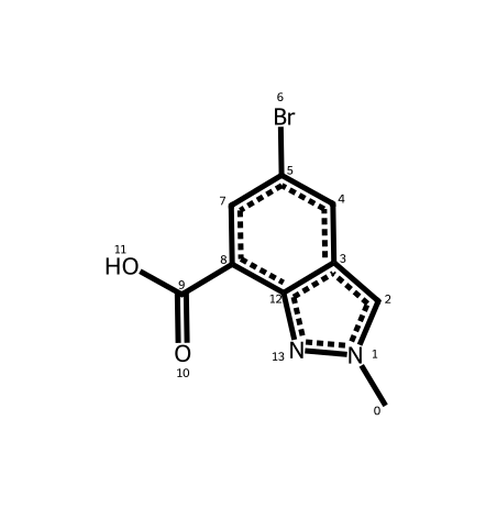 Cn1cc2cc(Br)cc(C(=O)O)c2n1